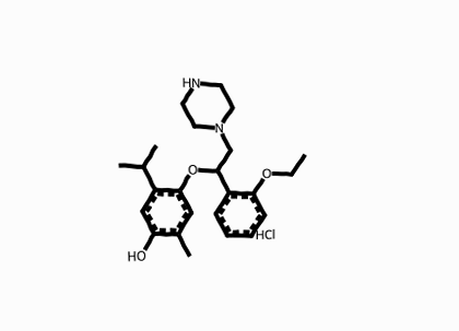 CCOc1ccccc1C(CN1CCNCC1)Oc1cc(C)c(O)cc1C(C)C.Cl